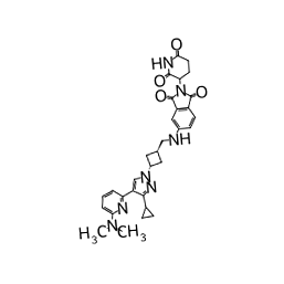 CN(C)c1cccc(-c2cn([C@H]3C[C@H](CNc4ccc5c(c4)C(=O)N(C4CCC(=O)NC4=O)C5=O)C3)nc2C2CC2)n1